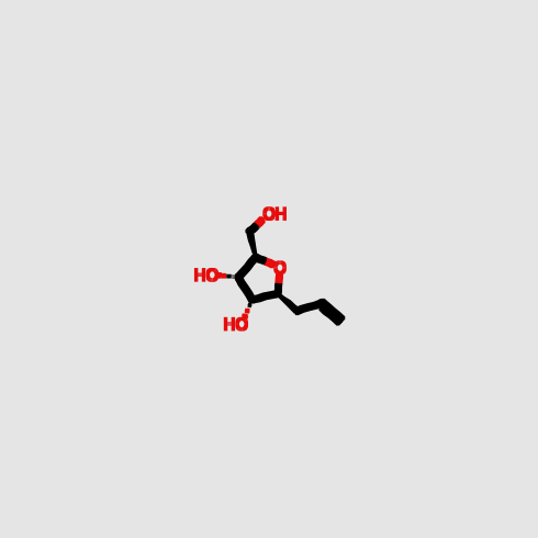 C=CC[C@@H]1O[C@H](CO)[C@@H](O)[C@H]1O